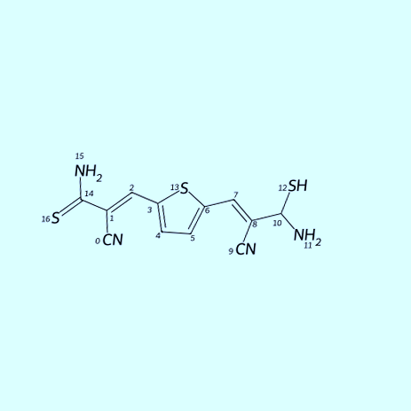 N#C/C(=C\c1ccc(/C=C(\C#N)C(N)S)s1)C(N)=S